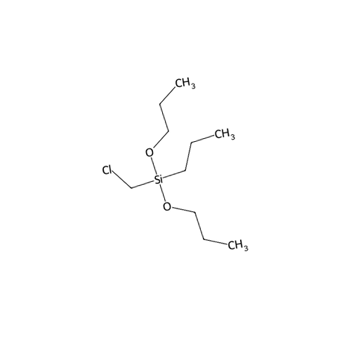 CCCO[Si](CCl)(CCC)OCCC